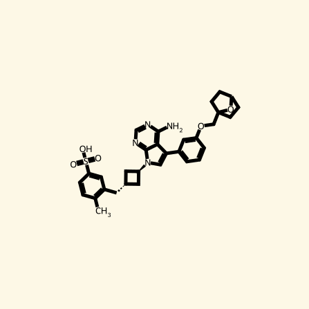 Cc1ccc(S(=O)(=O)O)cc1C[C@H]1C[C@H](n2cc(-c3cccc(OCC45CCC(CC4)O5)c3)c3c(N)ncnc32)C1